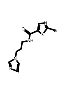 O=C(NCCCn1ccnc1)c1cnc(Br)s1